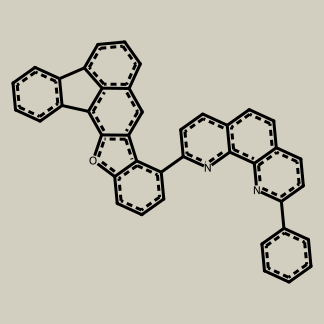 c1ccc(-c2ccc3ccc4ccc(-c5cccc6oc7c8c9c(cccc9cc7c56)-c5ccccc5-8)nc4c3n2)cc1